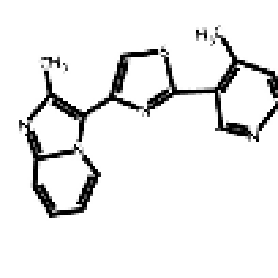 Cc1ccn[c]c1-c1nc(-c2c(C)nc3ccccn23)cs1